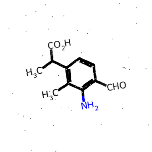 Cc1c(C(C)C(=O)O)ccc(C=O)c1N